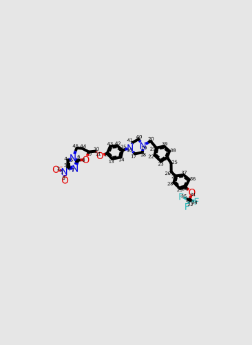 O=[N+]([O-])c1cn2c(n1)OC(COc1ccc(N3CCN(Cc4ccc(CCc5ccc(OC(F)(F)F)cc5)cc4)CC3)cc1)CC2